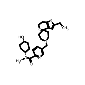 CCc1cc2c(s1)CCOC21CCN(Cc2ccc(C(=O)N(C)[C@H]3CC[C@H](O)CC3)nc2)CC1